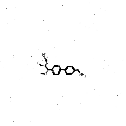 CO[C@H](c1ccc(-c2ccc(CN)cc2)cc1)[C@@H](CF)N=[N+]=[N-]